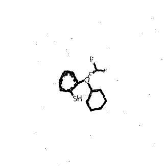 FC(F)F.Sc1ccccc1OC1CCCCC1